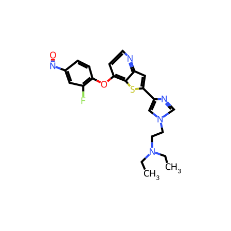 CCN(CC)CCn1cnc(-c2cc3nccc(Oc4ccc(N=O)cc4F)c3s2)c1